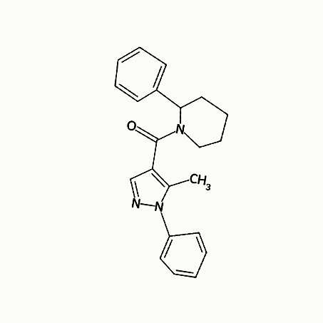 Cc1c(C(=O)N2CCCCC2c2ccccc2)cnn1-c1ccccc1